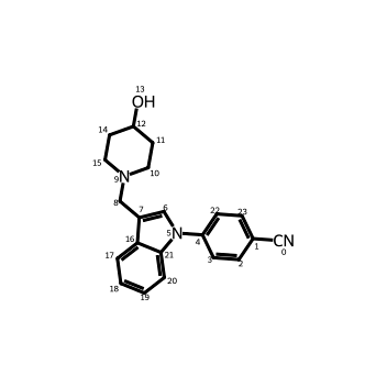 N#Cc1ccc(-n2cc(CN3CCC(O)CC3)c3ccccc32)cc1